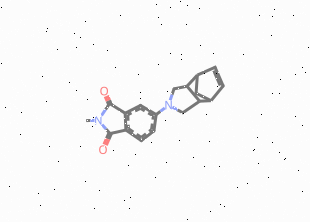 CN1C(=O)c2ccc(N3CC4C5C=CC(C5)C4C3)cc2C1=O